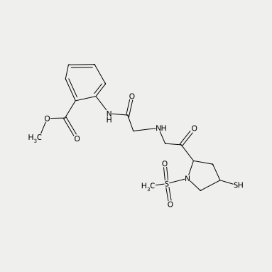 COC(=O)c1ccccc1NC(=O)CNCC(=O)C1CC(S)CN1S(C)(=O)=O